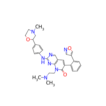 CN(C)CCn1c(=O)c(-c2ccccc2-c2cnoc2)cc2cnc(Nc3ccc(C4CN(C)CCO4)cc3)nc21